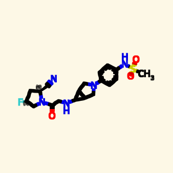 CS(=O)(=O)Nc1ccc(N2CC3C(C2)C3NCC(=O)N2C[C@@H](F)C[C@H]2C#N)cc1